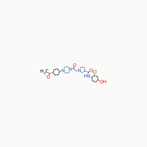 CC(=O)c1ccc(N2CCN(C(=O)CN3CCC(C(=O)Nc4ccc(O)cc4Cl)C3)CC2)cc1